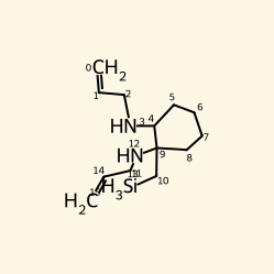 C=CCNC1CCCCC1(C[SiH3])NCC=C